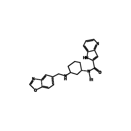 CCN(C(=O)c1cc2ncccc2[nH]1)C1CCCC(NCc2ccc3ocnc3c2)C1